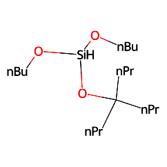 CCCCO[SiH](OCCCC)OC(CCC)(CCC)CCC